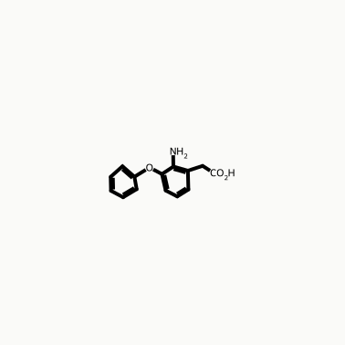 Nc1c(CC(=O)O)cccc1Oc1ccccc1